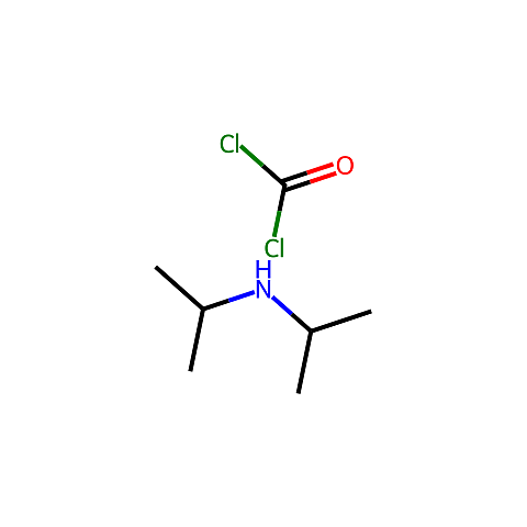 CC(C)NC(C)C.O=C(Cl)Cl